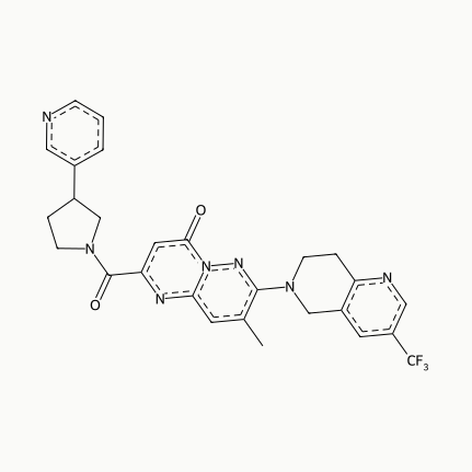 Cc1cc2nc(C(=O)N3CCC(c4cccnc4)C3)cc(=O)n2nc1N1CCc2ncc(C(F)(F)F)cc2C1